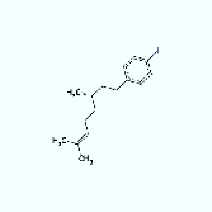 CC(C)=CCC[C@H](C)CCc1ccc(I)cc1